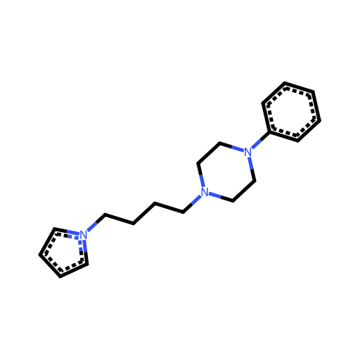 c1ccc(N2CCN(CCCCn3cccc3)CC2)cc1